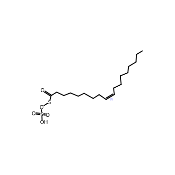 CCCCCCCC/C=C\CCCCCCCC(=O)SOS(=O)(=O)O